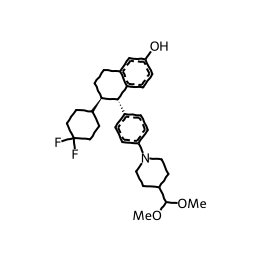 COC(OC)C1CCN(c2ccc([C@H]3c4ccc(O)cc4CC[C@@H]3C3CCC(F)(F)CC3)cc2)CC1